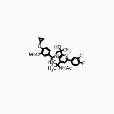 COc1cc(C(=O)NCC(O)(c2cc(C(C)(C)NC(C)=O)cc(-c3ccc(F)c(Cl)c3)n2)C(F)(F)F)ccc1OC1CC1